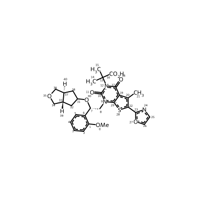 COc1ccccc1[C@@H](Cn1c(=O)n(C(C)(C)C(=O)O)c(=O)c2c(C)c(-c3ncco3)sc21)OC1C[C@@H]2COC[C@H]2C1